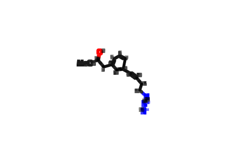 COC(=O)Cc1cccc(C#CCCN=[N+]=[N-])c1